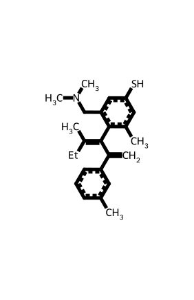 C=C(/C(=C(/C)CC)c1c(C)cc(S)cc1CN(C)C)c1cccc(C)c1